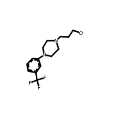 [O]CCCN1CCN(c2cccc(C(F)(F)F)c2)CC1